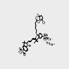 C[N+]1=C(/C=C/C=C2/N(CCCCCC(=O)ON3C(=O)CCC3=O)c3ccc(S(=O)(=O)[O-])cc3C2(C)C)C(C)(C)c2cc(S(=O)(=O)[O-])ccc21.[Na+]